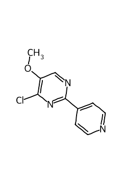 COc1cnc(-c2ccncc2)nc1Cl